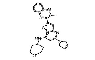 Cc1nc2ccccc2nc1-c1cc2nc(N3CC=CC3)cc(NC3CCOCC3)n2n1